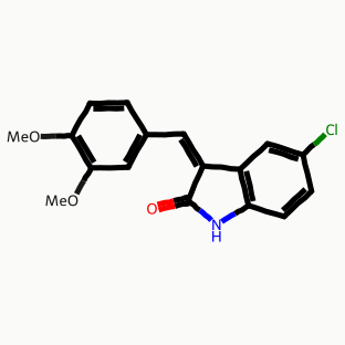 COc1ccc(C=C2C(=O)Nc3ccc(Cl)cc32)cc1OC